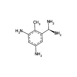 B[C@H](N)c1cc(N)cc(N)c1C